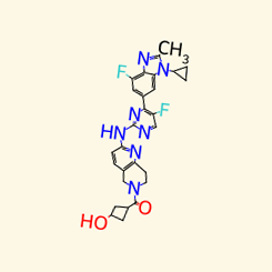 Cc1nc2c(F)cc(-c3nc(Nc4ccc5c(n4)CCN(C(=O)C4CC(O)C4)C5)ncc3F)cc2n1C1CC1